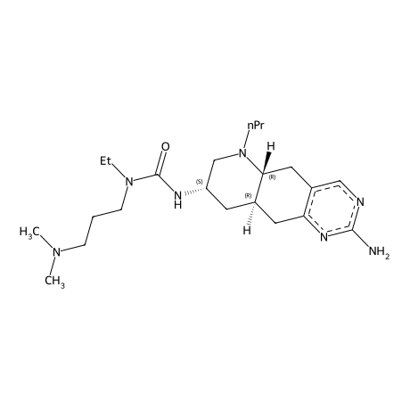 CCCN1C[C@@H](NC(=O)N(CC)CCCN(C)C)C[C@@H]2Cc3nc(N)ncc3C[C@H]21